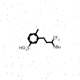 CCCCC(CCc1cc(S(=O)(=O)O)ccc1C)C(F)(F)F